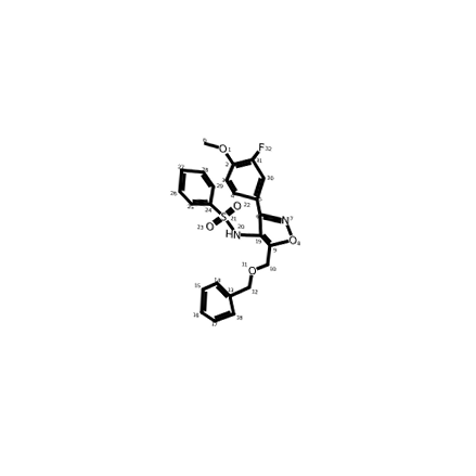 COc1ccc(-c2noc(COCc3ccccc3)c2NS(=O)(=O)c2ccccc2)cc1F